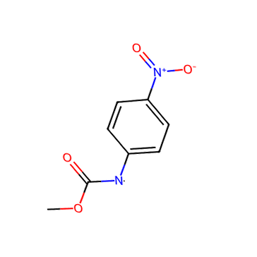 COC(=O)[N]c1ccc([N+](=O)[O-])cc1